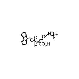 O=C(N[C@@H](CCOCCN1CCC(F)(F)C1)C(=O)O)OCC1c2ccccc2-c2ccccc21